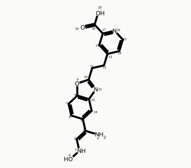 NC(=CNO)c1ccc2oc(CCc3ccnc(C(=O)O)c3)nc2c1